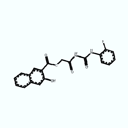 O=C(COC(=O)c1cc2ccccc2cc1O)NC(=O)Nc1ccccc1F